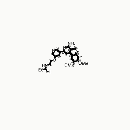 CCC(CC)NCCOc1cncc(-c2cc3c(cnc4cc(OC)c(OC)cc43)c(N)n2)c1